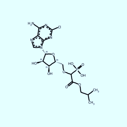 CC(C)COC(=O)C(OC[C@H]1O[C@@H](n2cnc3c(N)nc(Cl)nc32)[C@H](O)[C@@H]1O)P(=O)(O)O